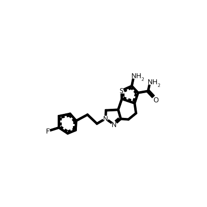 NC(=O)c1c(N)sc2c1CCC1=NN(CCc3ccc(F)cc3)CC12